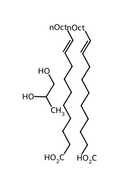 CC(O)CO.CCCCCCCCC=CCCCCCCCC(=O)O.CCCCCCCCC=CCCCCCCCC(=O)O